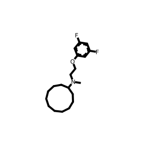 CN(CCOc1cc(F)cc(F)c1)C1CCCCCCCCCC1